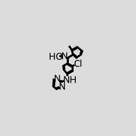 Cc1ccccc1C(=NO)c1ccc(Nc2ncccn2)cc1Cl